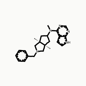 CN(c1ncnc2[nH]ccc12)C1C[C@@]2(C)CN(Cc3ccccc3)C[C@@]2(C)C1